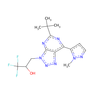 Cn1nccc1-c1nc(C(C)(C)C)nc2c1nnn2CC(O)C(F)(F)F